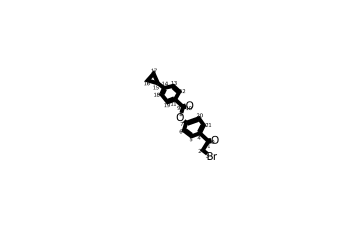 O=C(CBr)c1ccc(OC(=O)c2ccc(C3CC3)cc2)cc1